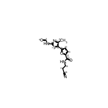 Cc1nc(NC=O)sc1-c1ccc(C(=O)NCCC#N)o1